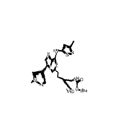 Cc1cc(Nc2nc(CCC(CO)NC(=O)OC(C)(C)C)cn3c(-c4cnn(C)c4)cnc23)sn1